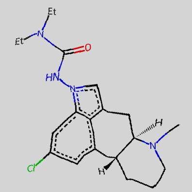 CCN(CC)C(=O)Nn1cc2c3c(cc(Cl)cc31)[C@H]1CCCN(C)[C@@H]1C2